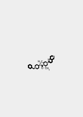 C[C@@H]1CN(c2ccc3cnccc3n2)C[C@H](C)N1C(=O)OC1CCN(Cc2ccccc2)CC1